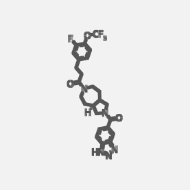 O=C(CCc1ccc(OC(F)(F)F)c(F)c1)N1CCC2CN(C(=O)c3ccc4[nH]nnc4c3)C[C@H]2CC1